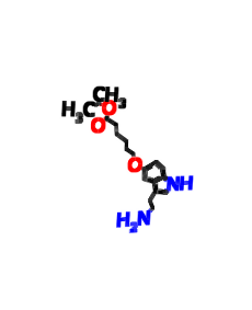 CC(C)OC(=O)CCCCCOc1ccc2[nH]cc(CCN)c2c1